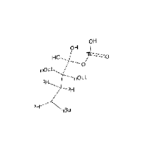 [3H]C(CCCC)C([3H])([3H])C(CCCCCCCC)(CCCCCCCC)C(O)(O)[O][Ti](=[O])[OH]